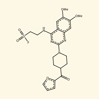 COc1cc2nc(N3CCC(C(=O)c4ccco4)CC3)nc(NCCS(=O)(=O)F)c2cc1OC